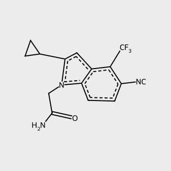 [C-]#[N+]c1ccc2c(cc(C3CC3)n2CC(N)=O)c1C(F)(F)F